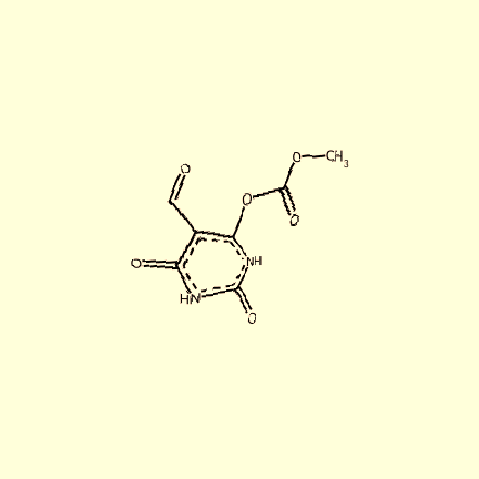 COC(=O)Oc1[nH]c(=O)[nH]c(=O)c1C=O